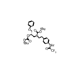 CC(C)(C)OC(=O)O[C@H](COc1ccccc1)CN(CCc1ccc(NC(=O)C(F)(F)F)cc1)C(=O)OC(C)(C)C